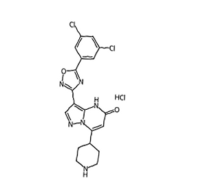 Cl.O=c1cc(C2CCNCC2)n2ncc(-c3noc(-c4cc(Cl)cc(Cl)c4)n3)c2[nH]1